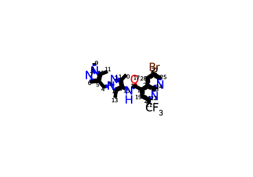 Cc1nn(Cc2cnn(C)c2C)c(C)c1NC(=O)c1cc(C(F)(F)F)nc2ncc(Br)cc12